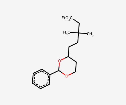 CCOC(=O)CC(C)(C)CCC1CCOC(c2ccccc2)O1